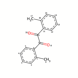 Cc1ccccc1C(=O)C(=O)c1ccccc1C